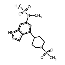 CN(c1cc(C2CCN(S(C)(=O)=O)CC2)c2cn[nH]c2c1)S(C)(=O)=O